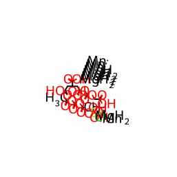 CC(=O)OC(=O)OC(C)=O.O=C(O)COC(=O)OC(=O)CC(O)(CC(=O)O)C(=O)O.O=S(=O)(O)O.[Cl][Mn].[MgH2].[MgH2].[MgH2].[MgH2].[MgH2].[Mn].[Mn].[Mn]